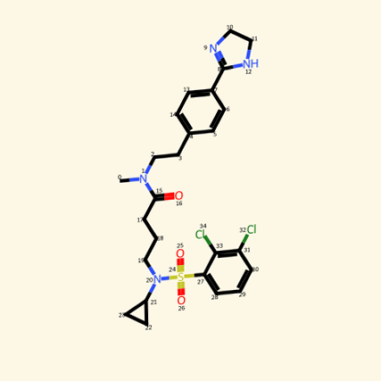 CN(CCc1ccc(C2=NCCN2)cc1)C(=O)CCCN(C1CC1)S(=O)(=O)c1cccc(Cl)c1Cl